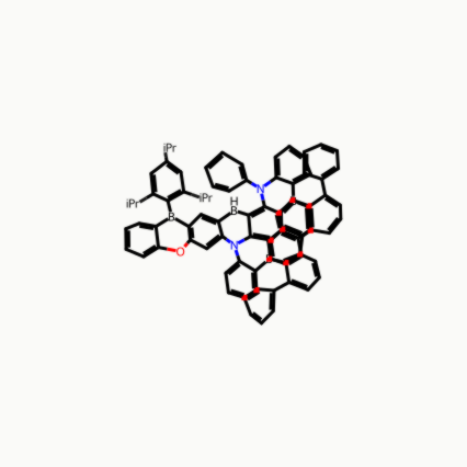 CC(C)c1cc(C(C)C)c(B2c3ccccc3Oc3cc4c(cc32)Bc2c3c(cc5c2N4c2ccccc2B5c2c(-c4ccccc4)cccc2-c2ccccc2)B(c2c(-c4ccccc4)cccc2-c2ccccc2)c2ccccc2N3c2ccccc2)c(C(C)C)c1